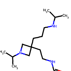 CC(C)NCCCC1(CCNC=O)CN(C(C)C)C1